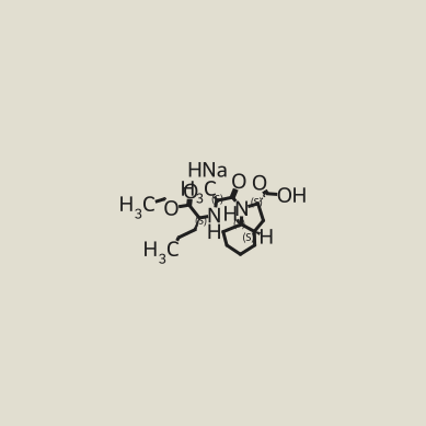 CCC[C@H](N[C@@H](C)C(=O)N1[C@H](C(=O)O)C[C@@H]2CCCC[C@@H]21)C(=O)OCC.[NaH]